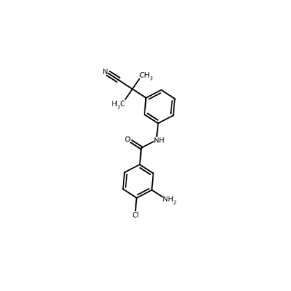 CC(C)(C#N)c1cccc(NC(=O)c2ccc(Cl)c(N)c2)c1